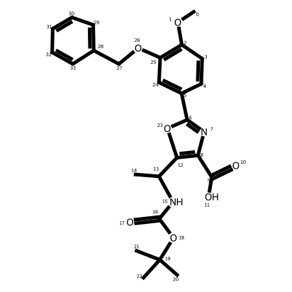 COc1ccc(-c2nc(C(=O)O)c(C(C)NC(=O)OC(C)(C)C)o2)cc1OCc1ccccc1